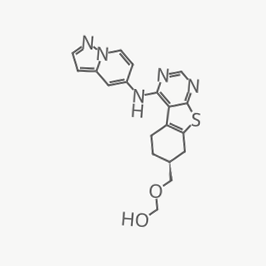 OCOC[C@H]1CCc2c(sc3ncnc(Nc4ccn5nccc5c4)c23)C1